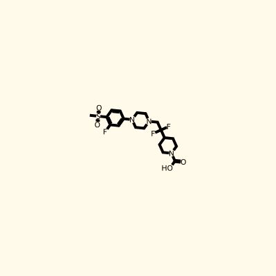 CS(=O)(=O)c1ccc(N2CCN(CC(F)(F)C3CCN(C(=O)O)CC3)CC2)cc1F